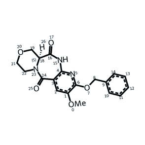 COc1cc2c(nc1OCc1ccccc1)NC(=O)[C@@H]1COCCN1C2=O